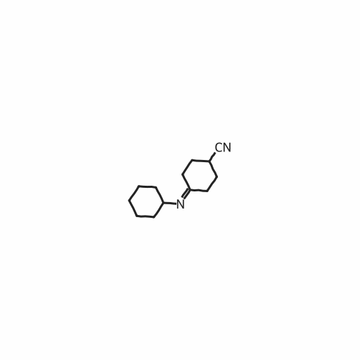 N#CC1CCC(=NC2CCCCC2)CC1